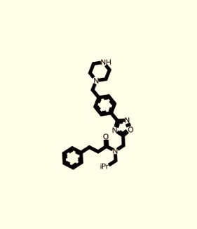 CC(C)CN(Cc1nc(-c2ccc(CN3CCNCC3)cc2)no1)C(=O)CCc1ccccc1